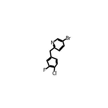 Fc1cc(Cc2ccc(Br)cn2)ccc1Cl